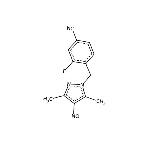 Cc1nn(Cc2ccc(C#N)cc2F)c(C)c1N=O